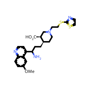 COc1ccc2nccc(C(N)CC[C@@H]3CCN(CCSc4nccs4)C[C@@H]3C(=O)O)c2c1